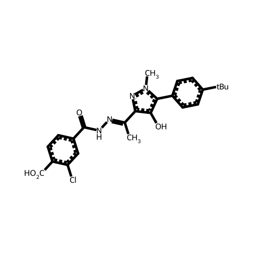 C/C(=N\NC(=O)c1ccc(C(=O)O)c(Cl)c1)c1nn(C)c(-c2ccc(C(C)(C)C)cc2)c1O